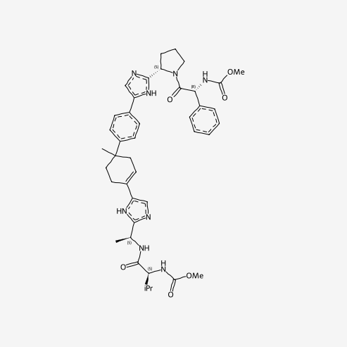 COC(=O)N[C@H](C(=O)N[C@@H](C)c1ncc(C2=CCC(C)(c3ccc(-c4cnc([C@@H]5CCCN5C(=O)[C@H](NC(=O)OC)c5ccccc5)[nH]4)cc3)CC2)[nH]1)C(C)C